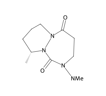 CNN1CCC(=O)N2CCC[C@@H](C)N2C1=O